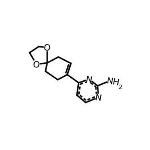 Nc1nccc(C2=CCC3(CC2)OCCO3)n1